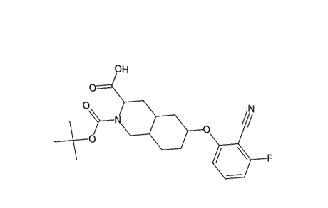 CC(C)(C)OC(=O)N1CC2CCC(Oc3cccc(F)c3C#N)CC2CC1C(=O)O